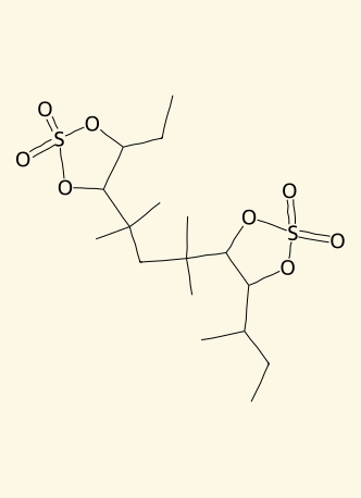 CCC(C)C1OS(=O)(=O)OC1C(C)(C)CC(C)(C)C1OS(=O)(=O)OC1CC